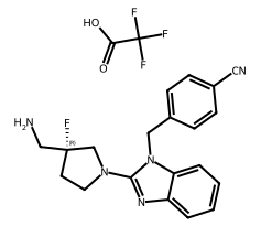 N#Cc1ccc(Cn2c(N3CC[C@@](F)(CN)C3)nc3ccccc32)cc1.O=C(O)C(F)(F)F